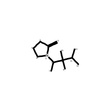 C=C1CCCN1C(C)C(C)(C)C(C)C